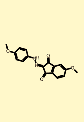 COc1ccc(NN=c2c(=O)c3ccc(OC)cc3c2=O)cc1